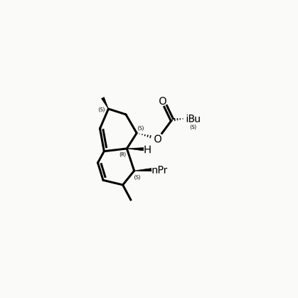 CCC[C@H]1C(C)C=CC2=C[C@@H](C)C[C@H](OC(=O)[C@@H](C)CC)[C@@H]21